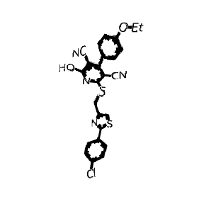 [CH2]COc1ccc(-c2c(C#N)c(O)nc(SCc3csc(-c4ccc(Cl)cc4)n3)c2C#N)cc1